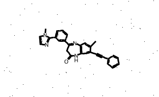 Cc1cc2c(cc1C#Cc1ccccc1)NC(=O)CC(c1cccc(-c3nccn3C)c1)=N2